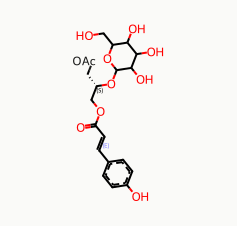 CC(=O)OC[C@@H](COC(=O)/C=C/c1ccc(O)cc1)OC1OC(CO)C(O)C(O)C1O